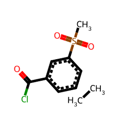 CC.CS(=O)(=O)c1cccc(C(=O)Cl)c1